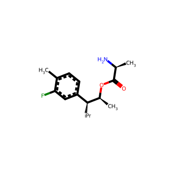 Cc1ccc([C@H](C(C)C)[C@H](C)OC(=O)[C@H](C)N)cc1F